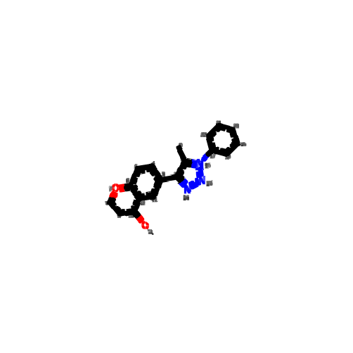 Cc1c(-c2ccc3occc(=O)c3c2)nnn1-c1ccccc1